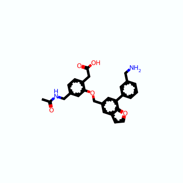 CC(=O)NCc1ccc(CC(=O)O)c(OCc2cc(-c3cccc(CN)c3)c3occc3c2)c1